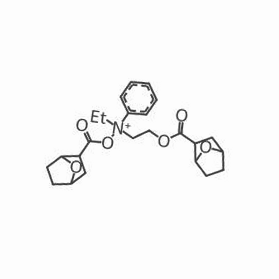 [CH2]C[N+](CCOC(=O)C1CC2CCC1O2)(OC(=O)C1CC2CCC1O2)c1ccccc1